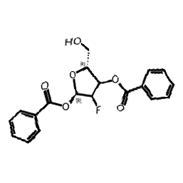 O=C(OC1C(F)[C@@H](OC(=O)c2ccccc2)O[C@@H]1CO)c1ccccc1